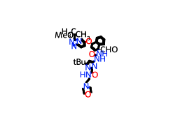 COC(C)(C)c1nnc2ccc(O[C@@H]3C=C[C@](C=O)(NC(=O)Nc4cc(C(C)(C)C)nc(C(=O)NCCN5CCOCC5)n4)c4ccccc43)cn12